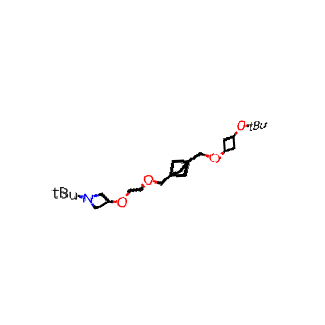 CC(C)(C)OC1CC(OCC23CC(COCCOC4CN(C(C)(C)C)C4)(C2)C3)C1